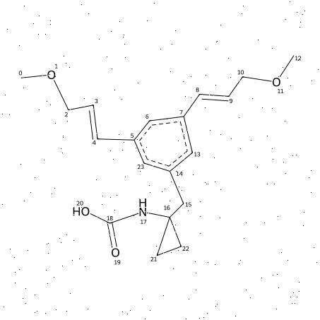 COCC=Cc1cc(C=CCOC)cc(CC2(NC(=O)O)CC2)c1